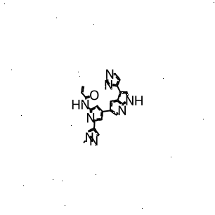 C=CC(=O)Nc1cc(-c2cnc3[nH]cc(-c4ccncn4)c3c2)cc(-c2cnn(C)c2)n1